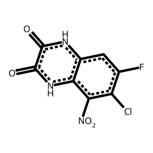 O=c1[nH]c2cc(F)c(Cl)c([N+](=O)[O-])c2[nH]c1=O